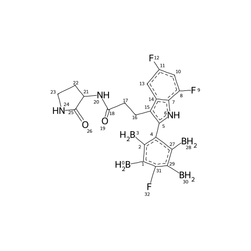 Bc1c(B)c(-c2[nH]c3c(F)cc(F)cc3c2CCC(=O)NC2CCNC2=O)c(B)c(B)c1F